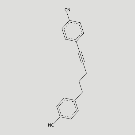 N#Cc1ccc(C#CCCCc2ccc(C#N)cc2)cc1